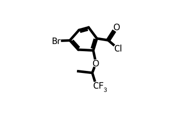 CC(Oc1cc(Br)ccc1C(=O)Cl)C(F)(F)F